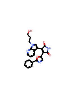 O=C1NC(=O)C(c2cn(CCCO)c3ncccc23)=C1c1cnc(-c2ccccc2)o1